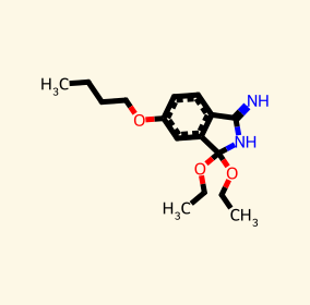 CCCCOc1ccc2c(c1)C(OCC)(OCC)NC2=N